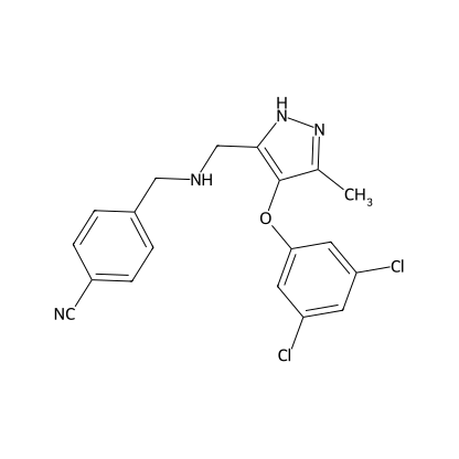 Cc1n[nH]c(CNCc2ccc(C#N)cc2)c1Oc1cc(Cl)cc(Cl)c1